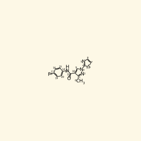 Cc1nn(-c2nccs2)cc1C(=O)Nc1ccc(F)cc1